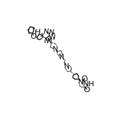 Nc1ncnc2c1c(-c1ccc(Oc3ccccc3)cc1)nn2C1CCN(C2CCN(CCN3CCC(c4ccc(N5CCC(=O)NC5=O)cc4)CC3)CC2)CC1